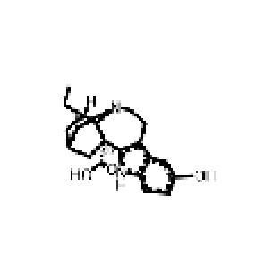 CC[C@H]1CC2CN3CCc4c([nH]c5ccc(O)cc45)[C@@](C(=O)O)(C2)C13